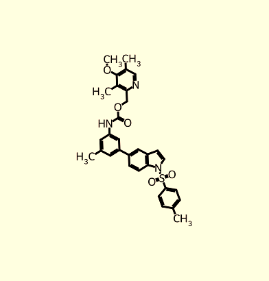 COc1c(C)cnc(COC(=O)Nc2cc(C)cc(-c3ccc4c(ccn4S(=O)(=O)c4ccc(C)cc4)c3)c2)c1C